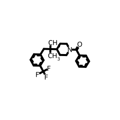 CC(C)(Cc1cccc(C(F)(F)F)c1)C1CCN(C(=O)c2ccccc2)CC1